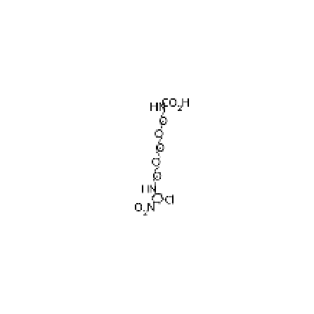 O=C(O)NCCOCCOCCOCCOCCOCCNc1cc(Cl)cc([N+](=O)[O-])c1